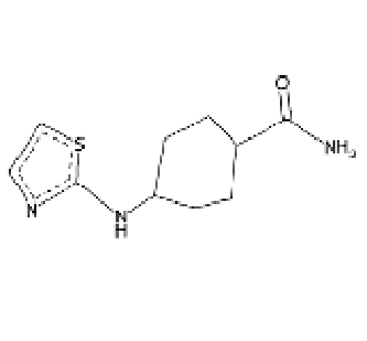 NC(=O)C1CCC(Nc2nccs2)CC1